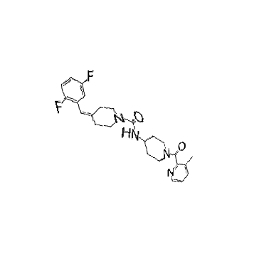 Cc1cccnc1C(=O)N1CCC(NC(=O)N2CCC(=Cc3cc(F)ccc3F)CC2)CC1